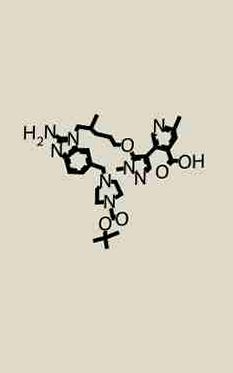 Cc1cc(C(=O)O)c(-c2cnn(C)c2OCCCC(C)Cn2c(N)nc3ccc(CN4CCN(C(=O)OC(C)(C)C)CC4)cc32)cn1